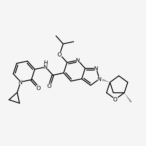 CC(C)Oc1nc2nn([C@]34CC[C@](C)(C3)OC4)cc2cc1C(=O)Nc1cccn(C2CC2)c1=O